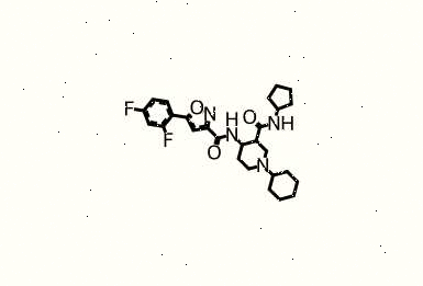 O=C(NC1CCN(C2CCCCC2)CC1C(=O)NC1CCCC1)c1cc(-c2ccc(F)cc2F)on1